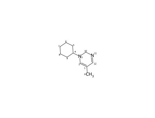 CC1=CN(C2CCCCC2)CN=C1